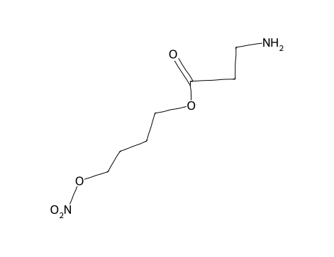 NCCC(=O)OCCCCO[N+](=O)[O-]